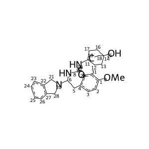 COc1ccc(CC(NC(=O)NC23CCC(O)(CC2)CC3)N2Cc3ccccc3C2)c(F)c1